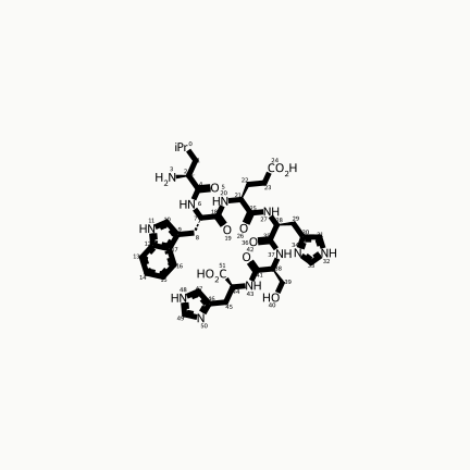 CC(C)C[C@H](N)C(=O)N[C@@H](Cc1c[nH]c2ccccc12)C(=O)N[C@@H](CCC(=O)O)C(=O)N[C@@H](Cc1c[nH]cn1)C(=O)N[C@@H](CO)C(=O)N[C@@H](Cc1c[nH]cn1)C(=O)O